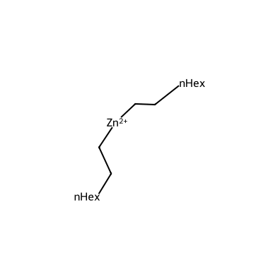 CCCCCCC[CH2][Zn+2][CH2]CCCCCCC